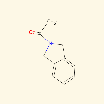 [CH2]C(=O)N1Cc2ccccc2C1